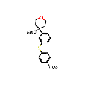 CNc1ccc(Sc2cccc(C3(OC)CCOCC3)c2)cc1